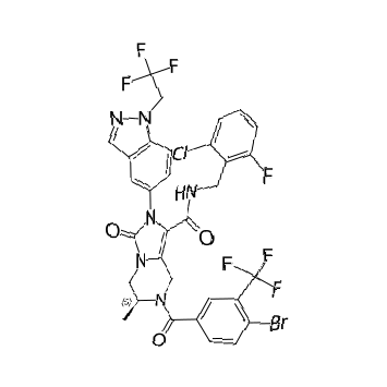 C[C@H]1Cn2c(c(C(=O)NCc3c(F)cccc3Cl)n(-c3ccc4c(cnn4CC(F)(F)F)c3)c2=O)CN1C(=O)c1ccc(Br)c(C(F)(F)F)c1